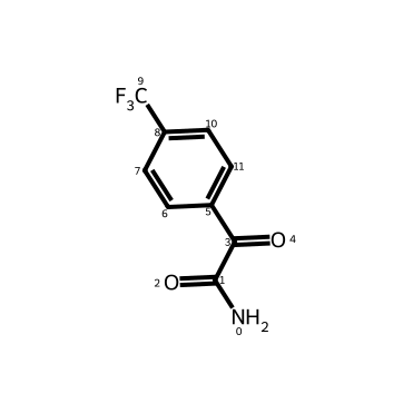 NC(=O)C(=O)c1ccc(C(F)(F)F)cc1